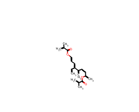 C=C/C(=C\C=C\OC(=O)C(=C)C)C(=C)/C=C\C(=C)OC(=O)C(=C)C